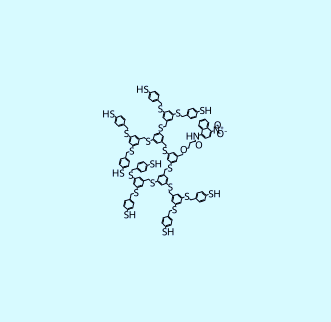 O=C(CCOCc1cc(SCc2cc(SCc3cc(SCc4ccc(S)cc4)cc(SCc4ccc(S)cc4)c3)cc(SCc3cc(SCc4ccc(S)cc4)cc(SCc4ccc(S)cc4)c3)c2)cc(SCc2cc(SCc3cc(SCc4ccc(S)cc4)cc(SCc4ccc(S)cc4)c3)cc(SCc3cc(SCc4ccc(S)cc4)cc(SCc4ccc(S)cc4)c3)c2)c1)Nc1ccc([N+](=O)[O-])c2ccccc12